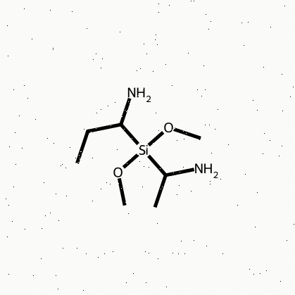 CCC(N)[Si](OC)(OC)C(C)N